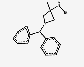 CCNC1(C)CN(C(c2ccccc2)c2ccccc2)C1